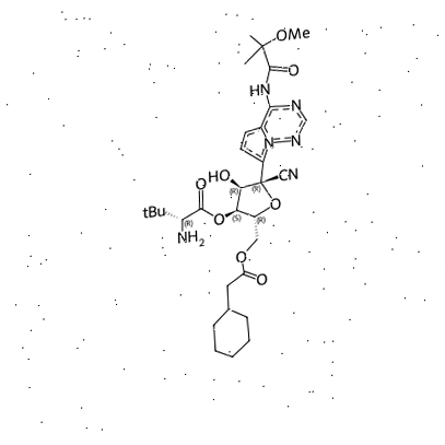 COC(C)(C)C(=O)Nc1ncnn2c([C@]3(C#N)O[C@H](COC(=O)CC4CCCCC4)[C@@H](OC(=O)[C@H](N)C(C)(C)C)[C@H]3O)ccc12